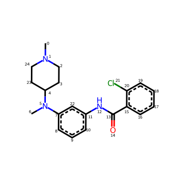 CN1CCC(N(C)c2cccc(NC(=O)c3ccccc3Cl)c2)CC1